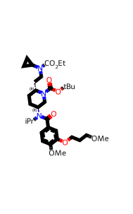 CCOC(=O)N(CC[C@H]1CC[C@@H](N(C(=O)c2ccc(OC)c(OCCCOC)c2)C(C)C)CN1C(=O)OC(C)(C)C)C1CC1